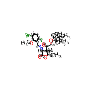 COc1c(Br)ccc(F)c1CN1O[C@@H](CO[Si](C)(C)C(C)(C)C)[C@H]2[C@H](C)OC(=O)[C@H]21